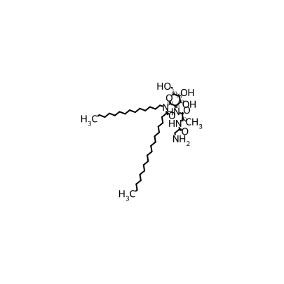 CCCCCCCCCCCCCCCCCC(=O)N(CCCCCCCCCCCCCC)[C@@H]1O[C@H](CO)[C@@H](O)[C@H](O)[C@H]1NC(=O)[C@H](C)NC(=O)CN